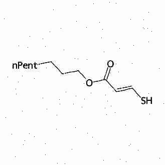 CCCCCCCCOC(=O)C=CS